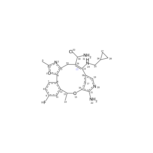 Cc1nc2c(o1)-c1ccc(F)cc1C(C)Oc1cc(cnc1N)/C(NCC1CC1)=C(/C(N)Cl)C2